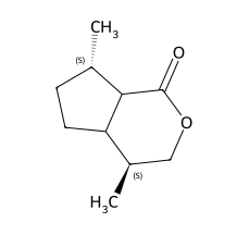 C[C@@H]1COC(=O)C2C1CC[C@@H]2C